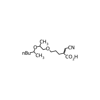 CCCCC(C)OC(C)COCCCC(=CC#N)C(=O)O